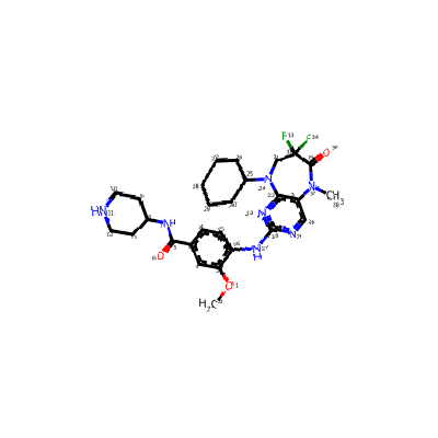 COc1cc(C(=O)NC2CCNCC2)ccc1Nc1ncc2c(n1)N(C1CCCCC1)CC(F)(F)C(=O)N2C